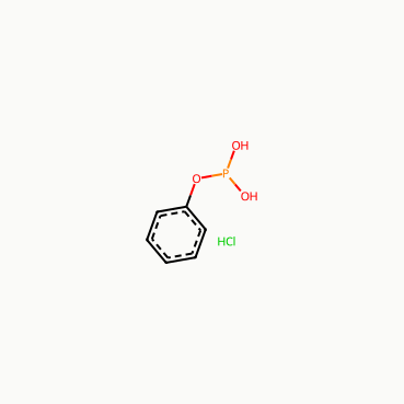 Cl.OP(O)Oc1ccccc1